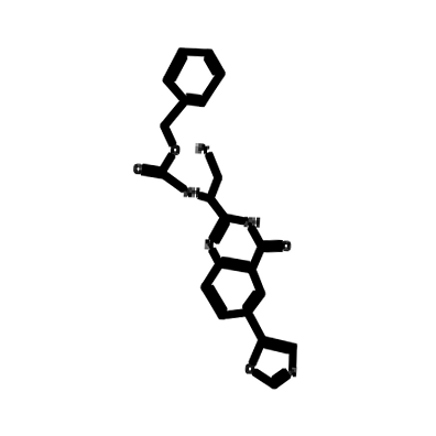 CC(C)CC(NC(=O)OCc1ccccc1)c1nc2ccc(-c3cnco3)cc2c(=O)[nH]1